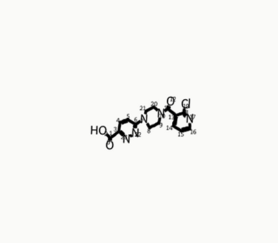 O=C(O)c1ccc(N2CCN(C(=O)c3cccnc3Cl)CC2)nn1